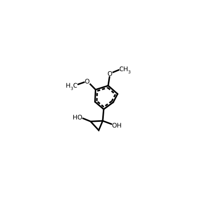 COc1ccc(C2(O)CC2O)cc1OC